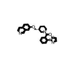 O=C(c1ccccc1-n1nccn1)N1CCC[C@@H](COc2ccc3ccncc3c2)C1